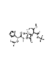 COC1=C(C(=O)OC(C)(C)C)N2C(=O)[C@H](NC(=O)C(OC(C)=O)c3cccs3)[C@@H]2SC1